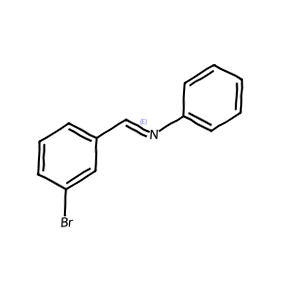 Brc1cccc(/C=N/c2ccccc2)c1